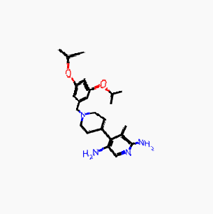 Cc1c(N)ncc(N)c1C1CCN(Cc2cc(OC(C)C)cc(OC(C)C)c2)CC1